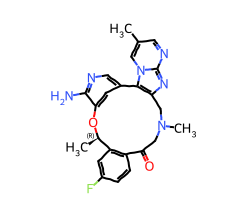 Cc1cnc2nc3c(n2c1)-c1cnc(N)c(c1)O[C@H](C)c1cc(F)ccc1C(=O)CN(C)C3